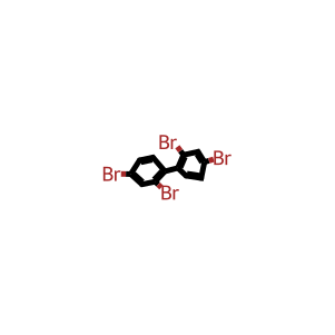 Brc1ccc(-c2ccc(Br)cc2Br)c(Br)c1